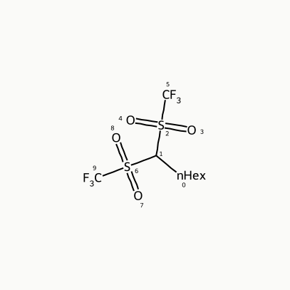 CCCCCCC(S(=O)(=O)C(F)(F)F)S(=O)(=O)C(F)(F)F